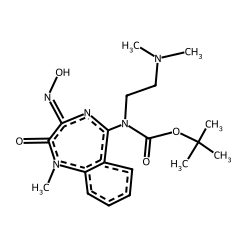 CN(C)CCN(C(=O)OC(C)(C)C)c1nc(=NO)c(=O)n(C)c2ccccc12